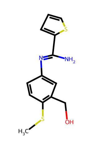 CSc1ccc(N=C(N)c2cccs2)cc1CO